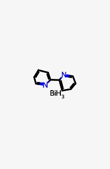 [BiH3].c1ccc(-c2ccccn2)nc1